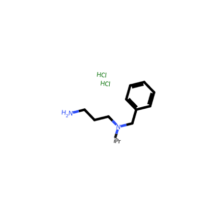 CC(C)N(CCCN)Cc1ccccc1.Cl.Cl